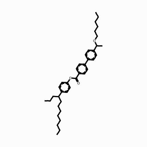 CCCCCCCCC(CCC)c1ccc(OC(=O)c2ccc(-c3ccc(C(C)OCCCCCC)cc3)cc2)cc1